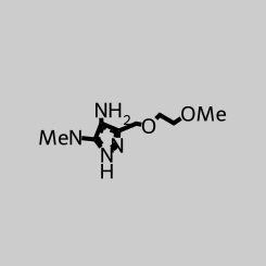 CNc1[nH]nc(COCCOC)c1N